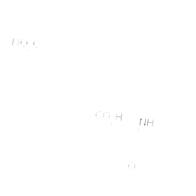 C1COCN1.O=C(O)CCCC(=O)O